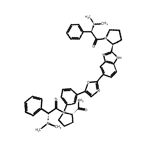 CN(C)[C@@H](C(=O)N1CCC[C@H]1c1nc2cc(-c3ncc(-c4cccc([N+]5(C(=O)[C@@H](c6ccccc6)N(C)C)CCC[C@H]5C(N)=O)c4)o3)ccc2[nH]1)c1ccccc1